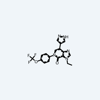 CCn1cnc2c(-c3cn[nH]c3)cn(-c3ccc(OC(F)(F)F)cc3)c(=O)c21